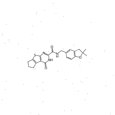 CC1(C)Cc2cc(CNC(=O)c3nc4sc5c(c4c(=O)[nH]3)CCC5)ccc2O1